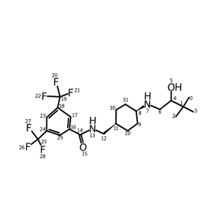 CC(C)(C)C(O)CN[C@H]1CC[C@@H](CNC(=O)c2cc(C(F)(F)F)cc(C(F)(F)F)c2)CC1